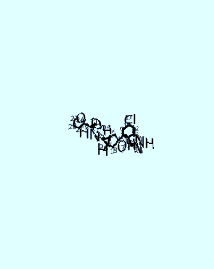 O=C(N[C@@H]1[C@@H]2C[C@@](O)(c3cc(Cl)cc4[nH]ncc34)C[C@@H]21)C1CCCO1